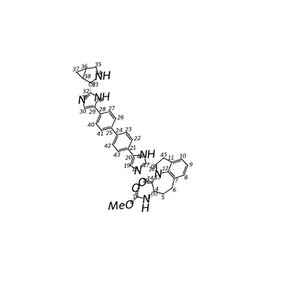 COC(=O)N[C@H]1CCc2cccc3c2N(C1=O)[C@H](c1ncc(-c2ccc(-c4ccc(-c5cnc([C@H]6NCC7CC76)[nH]5)cc4)cc2)[nH]1)C3